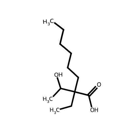 CCCCCCC(CC)(C(=O)O)C(C)O